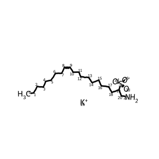 CCCCCCCC/C=C\CCCCCCCCCC(CN)S(=O)(=O)[O-].[K+]